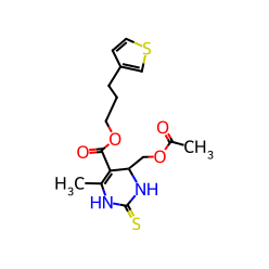 CC(=O)OCC1NC(=S)NC(C)=C1C(=O)OCCCc1ccsc1